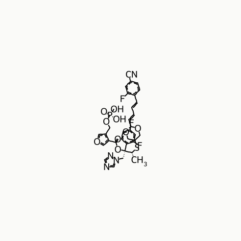 C[C@@H](SC1COC(C=CC=Cc2ccc(C#N)cc2F)OC1)[C@@](Cn1cncn1)(OC(=O)c1cocc1COP(=O)(O)O)c1ccc(F)cc1F